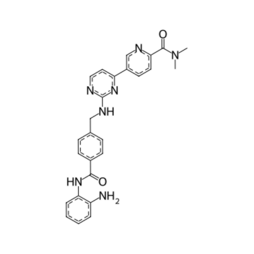 CN(C)C(=O)c1ccc(-c2ccnc(NCc3ccc(C(=O)Nc4ccccc4N)cc3)n2)cn1